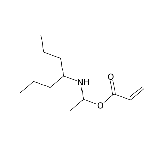 C=CC(=O)OC(C)NC(CCC)CCC